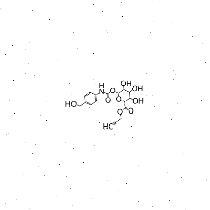 C#CCOC(=O)C1OC(OC(=O)Nc2ccc(CO)cc2)C(O)C(O)C1O